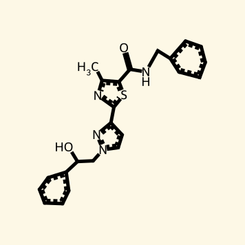 Cc1nc(-c2ccn(CC(O)c3ccccc3)n2)sc1C(=O)NCc1ccccc1